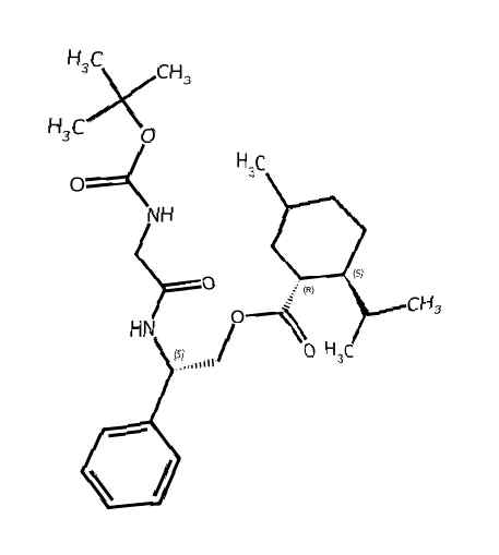 CC1CC[C@@H](C(C)C)[C@H](C(=O)OC[C@@H](NC(=O)CNC(=O)OC(C)(C)C)c2ccccc2)C1